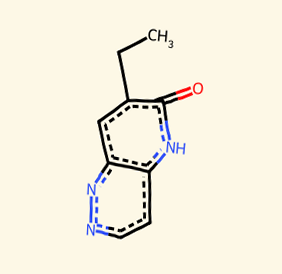 CCc1cc2nnccc2[nH]c1=O